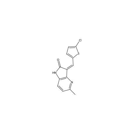 Cc1ccc2c(n1)C(=Cc1ccc(Cl)s1)C(=O)N2